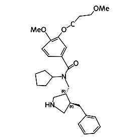 COCCCOc1cc(C(=O)N(C[C@H]2CNC[C@@H]2Cc2ccccc2)C2CCCC2)ccc1OC